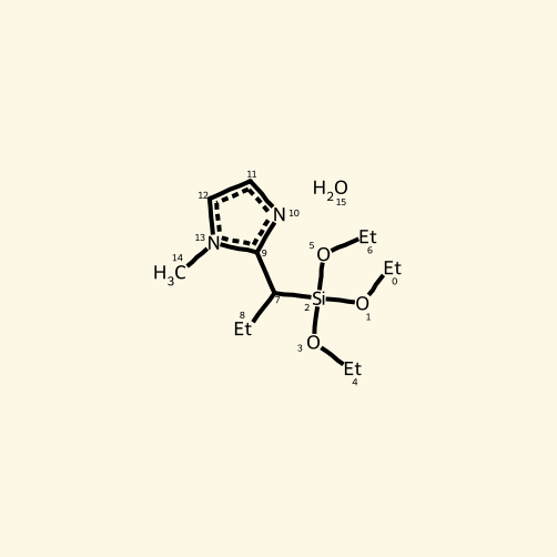 CCO[Si](OCC)(OCC)C(CC)c1nccn1C.O